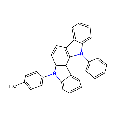 Cc1ccc(-n2c3ccccc3c3c2ccc2c4ccccc4n(-c4ccccc4)c23)cc1